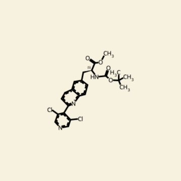 COC(=O)[C@H](Cc1ccc2nc(-c3c(Cl)cncc3Cl)ccc2c1)NC(=O)OC(C)(C)C